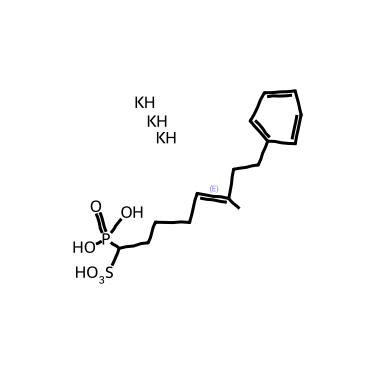 C/C(=C\CCCC(P(=O)(O)O)S(=O)(=O)O)CCc1ccccc1.[KH].[KH].[KH]